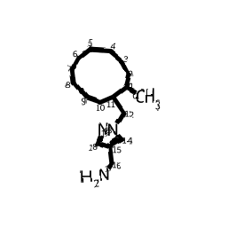 CC1CCCCCCCCCC1Cn1cc(CN)cn1